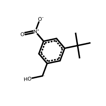 CC(C)(C)c1cc([CH]O)cc([N+](=O)[O-])c1